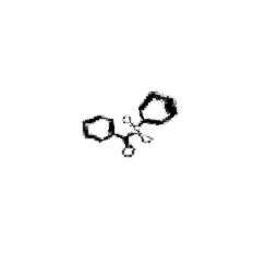 O=C(c1ccccc1)S(=O)(=O)c1ccccc1